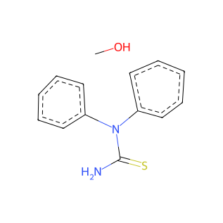 CO.NC(=S)N(c1ccccc1)c1ccccc1